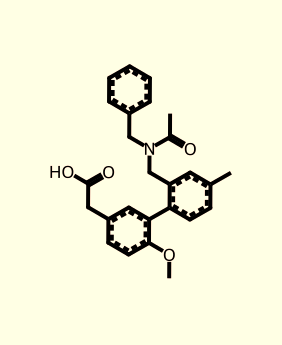 COc1ccc(CC(=O)O)cc1-c1ccc(C)cc1CN(Cc1ccccc1)C(C)=O